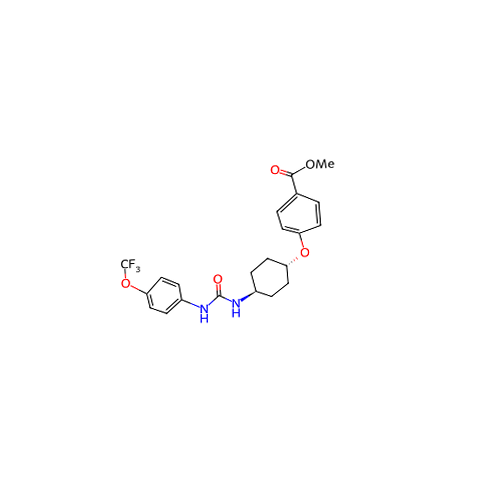 COC(=O)c1ccc(O[C@H]2CC[C@H](NC(=O)Nc3ccc(OC(F)(F)F)cc3)CC2)cc1